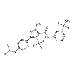 Cc1nn(-c2ccc(OC(F)F)cc2)c(C(F)(F)F)c1C(=O)Nc1cccc(C(C)(F)F)c1